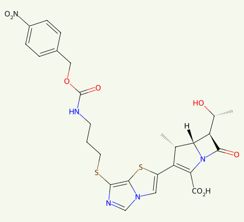 C[C@@H](O)[C@H]1C(=O)N2C(C(=O)O)=C(c3cn4cnc(SCCCNC(=O)OCc5ccc([N+](=O)[O-])cc5)c4s3)[C@H](C)[C@H]12